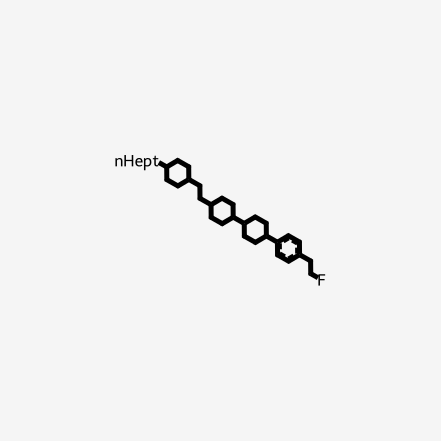 CCCCCCCC1CCC(CCC2CCC(C3CCC(c4ccc(CCF)cc4)CC3)CC2)CC1